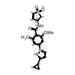 COc1cc(-n2ccc(C3CC3)n2)cc(C)c1C(=O)N[C@H]1C=CS(=O)(=O)C1